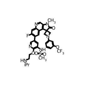 CC(C)NCCOc1ncc(-c2cc3c4c(cnc3cc2F)N(C)C(=O)C42CN(c3cccc(OC(F)(F)F)c3)C2)cc1NS(C)(=O)=O